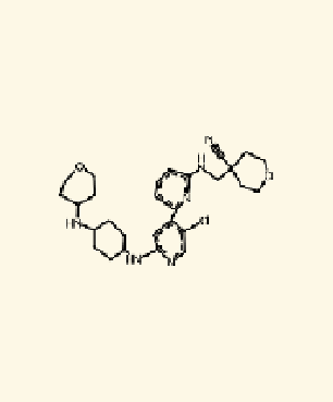 N#CC1(CNc2cccc(-c3cc(NC4CCC(NC5CCOCC5)CC4)ncc3Cl)n2)CCOCC1